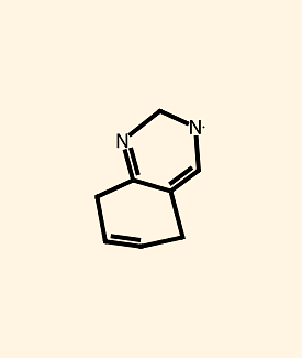 C1=CCC2=NC[N]C=C2C1